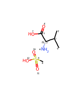 CC(C)[C@H](N)C(=O)O.CS(=O)(=O)O